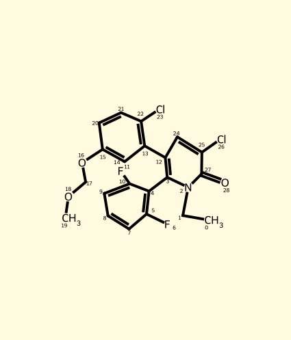 CCn1c(-c2c(F)cccc2F)c(-c2cc(OCOC)ccc2Cl)cc(Cl)c1=O